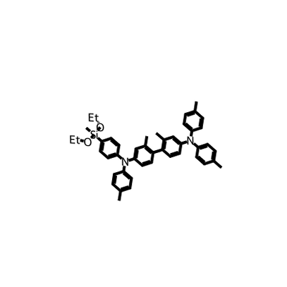 CCO[Si](C)(OCC)c1ccc(N(c2ccc(C)cc2)c2ccc(-c3ccc(N(c4ccc(C)cc4)c4ccc(C)cc4)cc3C)c(C)c2)cc1